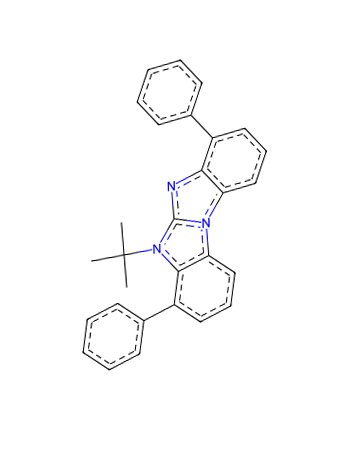 CC(C)(C)n1c2c(-c3ccccc3)cccc2n2c3cccc(-c4ccccc4)c3nc12